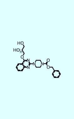 O=C(OCc1ccccc1)N1CCN(c2nc(OC[C@H](O)CO)c3ccccc3n2)CC1